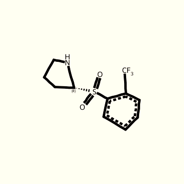 O=S(=O)(c1ccccc1C(F)(F)F)[C@@H]1CCCN1